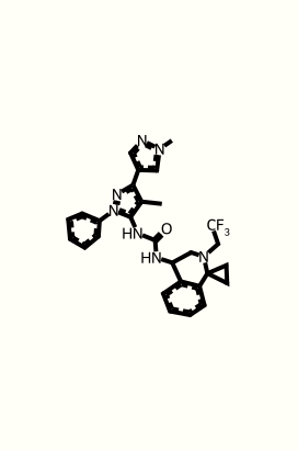 Cc1c(-c2cnn(C)c2)nn(-c2ccccc2)c1NC(=O)NC1CN(CC(F)(F)F)C2(CC2)c2ccccc21